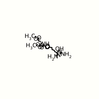 CCOC(=O)CC[C@@H](NC(=O)c1ccc(CCCCc2c(N)nc(N)nc2O)cc1)C(=O)OCC